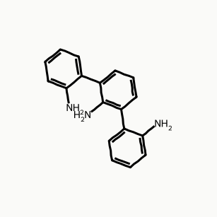 Nc1ccccc1-c1cccc(-c2ccccc2N)c1N